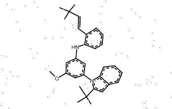 COc1cc(Nc2ccccc2/C=C/C(C)(C)C)cc(-n2c(C(C)(C)C)cc3ccccc32)c1